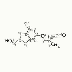 CC(COc1cc(F)c2c(c1)CC(CO)C2)NC=O